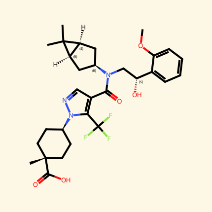 COc1ccccc1[C@H](O)CN(C(=O)c1cnn([C@H]2CC[C@](C)(C(=O)O)CC2)c1C(F)(F)F)[C@H]1C[C@@H]2[C@H](C1)C2(C)C